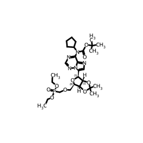 CCOP(=O)(COC[C@H]1O[C@@H](c2cnc3c(N(C(=O)OC(C)(C)C)C4CCCC4)ncnn23)[C@@H]2OC(C)(C)O[C@@H]21)OCC